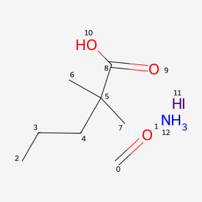 C=O.CCCC(C)(C)C(=O)O.I.N